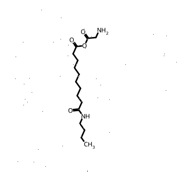 CCCCNC(=O)CCCCCCCCC(=O)OC(=O)CN